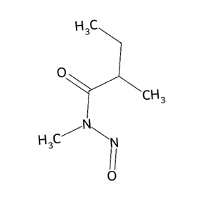 CCC(C)C(=O)N(C)N=O